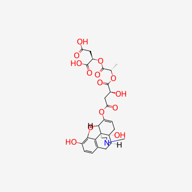 C[C@H](OC(=O)[C@@H](O)CC(=O)OC1=CC[C@@]2(O)[C@H]3Cc4ccc(O)c5c4[C@@]2(CCN3C)[C@H]1O5)C(=O)O[C@H](CC(=O)O)C(=O)O